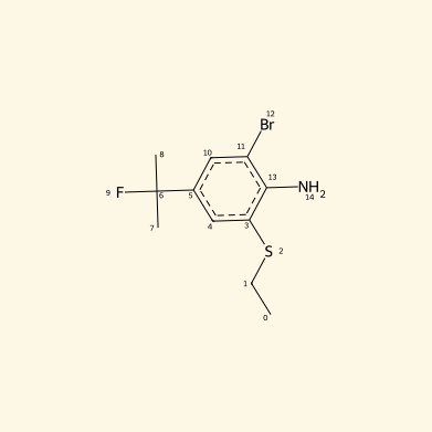 CCSc1cc(C(C)(C)F)cc(Br)c1N